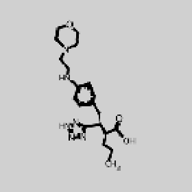 CCC[C@H](C(=O)O)[C@H](Cc1ccc(NCCN2CCOCC2)cc1)c1nn[nH]n1